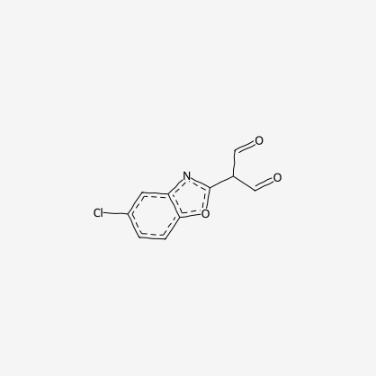 O=CC(C=O)c1nc2cc(Cl)ccc2o1